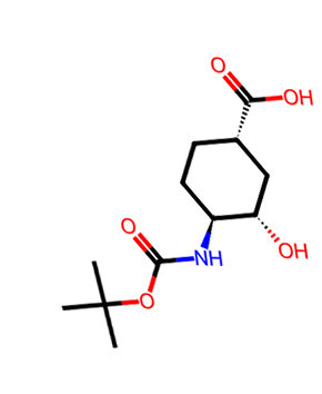 CC(C)(C)OC(=O)N[C@H]1CC[C@H](C(=O)O)C[C@@H]1O